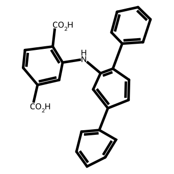 O=C(O)c1ccc(C(=O)O)c(Nc2cc(-c3ccccc3)ccc2-c2ccccc2)c1